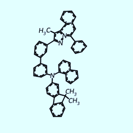 Cc1c(-c2cccc(-c3cccc(N(c4ccc5c(c4)C(C)(C)c4ccccc4-5)c4cccc5ccccc45)c3)c2)nn2c(-c3ccccc3)cc3ccccc3c12